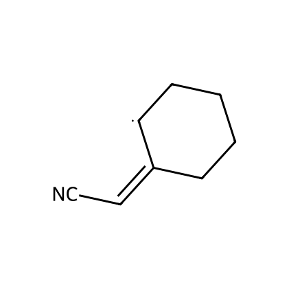 N#C/C=C1\[CH]CCCC1